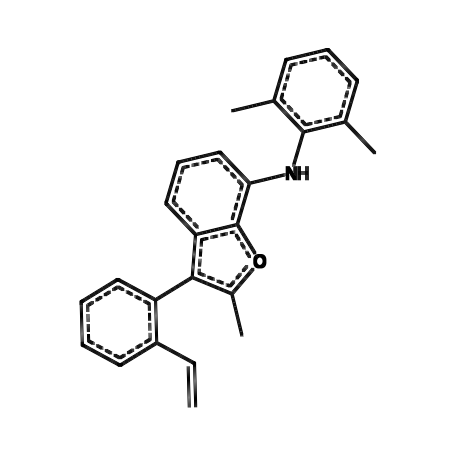 C=Cc1ccccc1-c1c(C)oc2c(Nc3c(C)cccc3C)cccc12